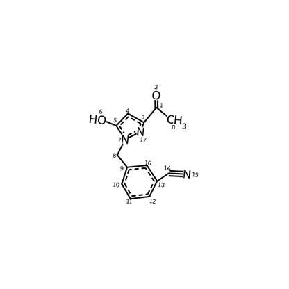 CC(=O)c1cc(O)n(Cc2cccc(C#N)c2)n1